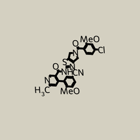 COc1cc(Cl)ccc1C(=O)N1Cc2nc(NC(=O)c3cnc(C)cc3-c3cc(C#N)ccc3OC)sc2C1